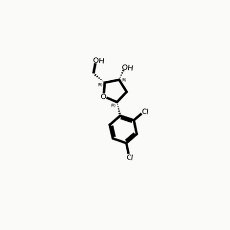 OC[C@H]1O[C@@H](c2ccc(Cl)cc2Cl)C[C@H]1O